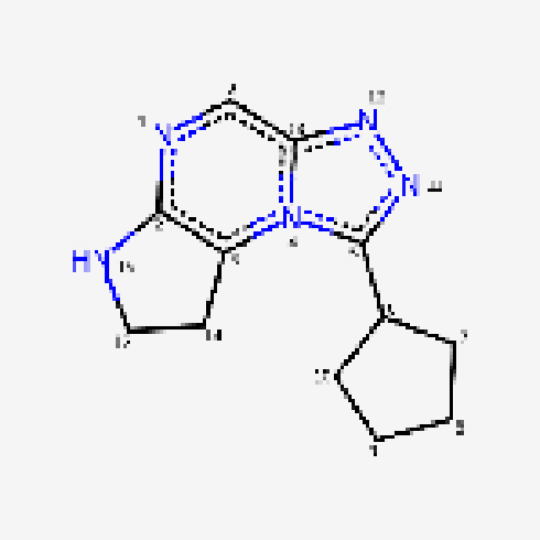 c1nc2c(n3c(C4CCCC4)nnc13)CCN2